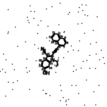 CCn1c(C#Cc2cccc3ccccc23)c(C#N)c2ccc(O)cc21